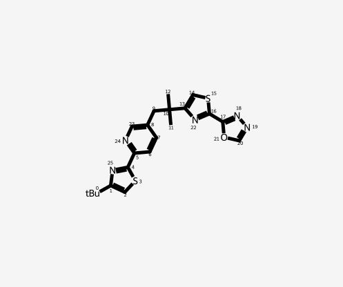 CC(C)(C)c1csc(-c2ccc(CC(C)(C)c3csc(-c4nnco4)n3)cn2)n1